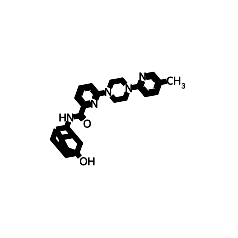 Cc1ccc(N2CCN(c3cccc(C(=O)NC4C5CC6CC4CC(O)(C6)C5)n3)CC2)nc1